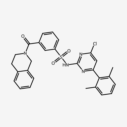 Cc1cccc(C)c1-c1cc(Cl)nc(NS(=O)(=O)c2cccc(C(=O)N3CCc4ccccc4C3)c2)n1